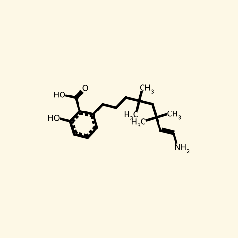 CC(C)(/C=C/N)CC(C)(C)CCCc1cccc(O)c1C(=O)O